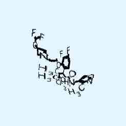 Cc1nocc1NC(=O)[C@@H]1O[C@@](C)(C(F)(F)F)[C@@H](C)[C@H]1c1ccc(F)c(F)c1OCCN1CC(OC(F)F)C1